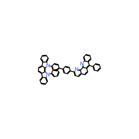 c1ccc(-c2c3ccccc3nc3c2ccc2ccc(-c4ccc(-c5ccc(-n6c7ccccc7c7ccc8c9ccccc9n(-c9ccccc9)c8c76)cc5)cc4)nc23)cc1